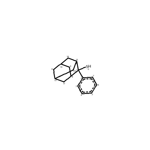 SC1(c2ccccc2)C2CC3CC(C2)CC1C3